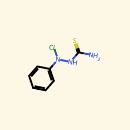 NC(=S)NN(Cl)c1ccccc1